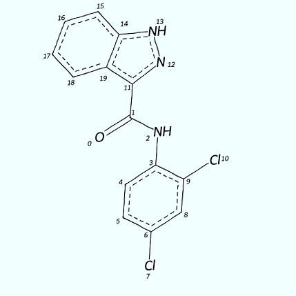 O=C(Nc1ccc(Cl)cc1Cl)c1n[nH]c2ccccc12